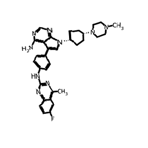 Cc1nc(Nc2ccc(-c3cn([C@H]4CC[C@@H](N5CCN(C)CC5)CC4)c4ncnc(N)c34)cc2)nc2ccc(F)cc12